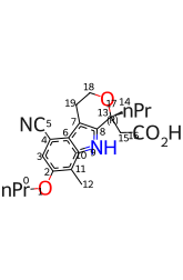 CCCOc1cc(C#N)c2c3c([nH]c2c1C)[C@@](CCC)(CC(=O)O)OCC3